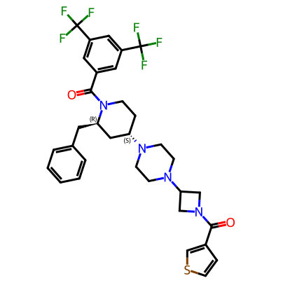 O=C(c1ccsc1)N1CC(N2CCN([C@H]3CCN(C(=O)c4cc(C(F)(F)F)cc(C(F)(F)F)c4)[C@H](Cc4ccccc4)C3)CC2)C1